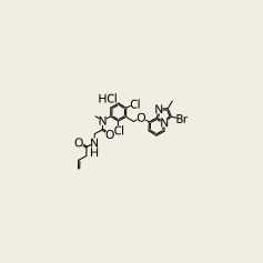 C=CCC(=O)NCC(=O)N(C)c1ccc(Cl)c(COc2cccn3c(Br)c(C)nc23)c1Cl.Cl